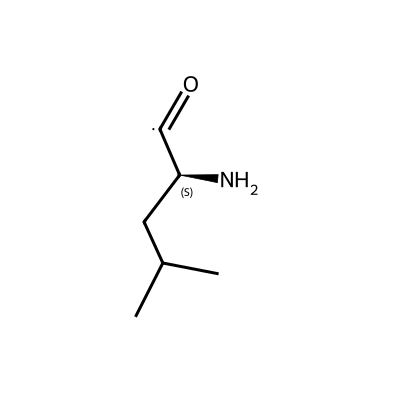 CC(C)C[C@H](N)[C]=O